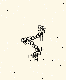 CCC(=O)NCCC(C)(C)OCCC(C)(C)NC(=O)CCOCCOCCOCCOCCN(CCOCCOCCOCCOCCC(=O)NC(C)(C)CCOC(C)(C)CCNC(=O)N(C)C(C)C)C(=O)CCN1C(=O)C=CC1=O